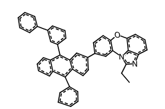 CCc1nc2cccc3c2n1-c1cc(-c2ccc4c(-c5ccccc5)c5ccccc5c(-c5cccc(-c6ccccc6)c5)c4c2)ccc1O3